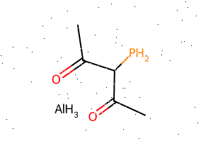 CC(=O)C(P)C(C)=O.[AlH3]